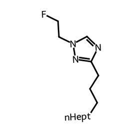 CCCCCCCCCCc1ncn(CCF)n1